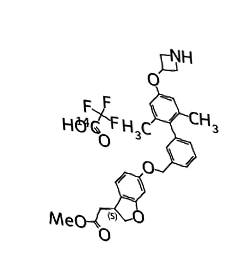 COC(=O)C[C@@H]1COc2cc(OCc3cccc(-c4c(C)cc(OC5CNC5)cc4C)c3)ccc21.O=[14C](O)C(F)(F)F